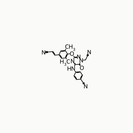 Cc1cc(/C=C/C#N)cc(C)c1Oc1nc(Nc2ccc(C#N)cc2)c(=O)n(CC#N)n1